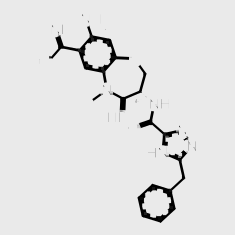 CN1C(=P)[C@@H](NC(=O)c2nnc(Cc3ccccc3)[nH]2)CSc2cc(N)c(C(=N)Cl)cc21